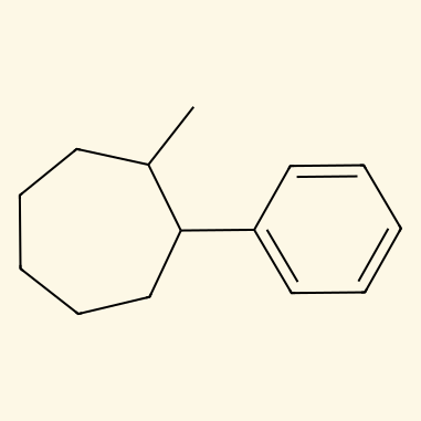 CC1CCCCCC1c1ccccc1